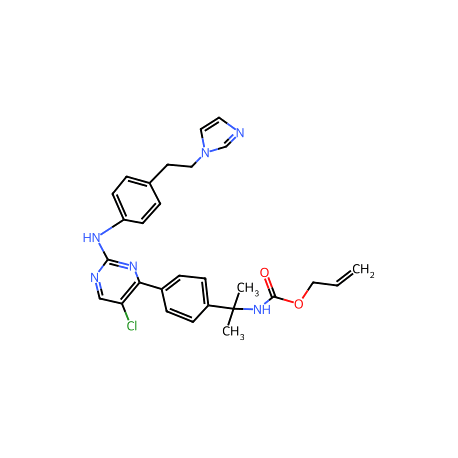 C=CCOC(=O)NC(C)(C)c1ccc(-c2nc(Nc3ccc(CCn4ccnc4)cc3)ncc2Cl)cc1